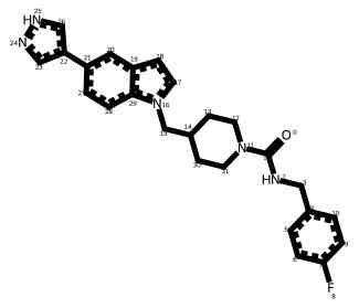 O=C(NCc1ccc(F)cc1)N1CCC(Cn2ccc3cc(-c4cn[nH]c4)ccc32)CC1